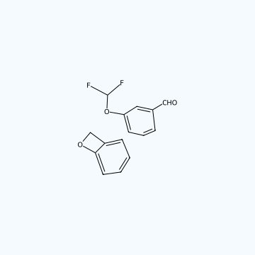 O=Cc1cccc(OC(F)F)c1.c1ccc2c(c1)CO2